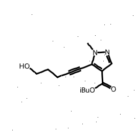 CC(C)COC(=O)c1cnn(C)c1C#CCCCO